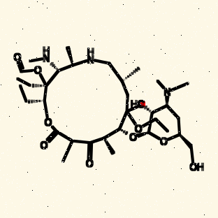 CCOC1(C)C[C@@H](C)CN[C@H](C)[C@@H](NC)[C@](CC)(OC=O)[C@@H](CC)OC(=O)C(C)C(=O)[C@H](C)[C@H]1O[C@@H]1O[C@H](CO)C[C@H](N(C)C)[C@H]1O